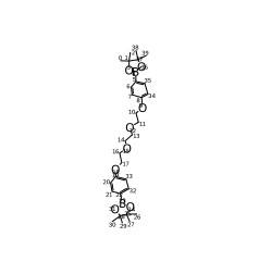 CC1(C)OB(c2ccc(OCCOCCOCCOc3ccc(B4OC(C)(C)C(C)(C)O4)cc3)cc2)OC1(C)C